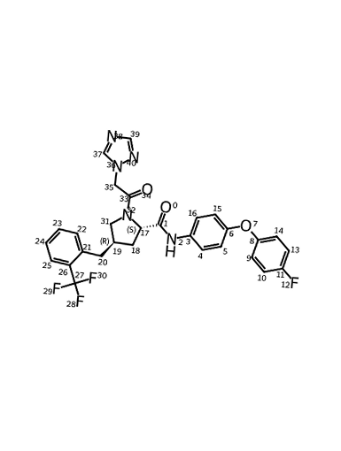 O=C(Nc1ccc(Oc2ccc(F)cc2)cc1)[C@@H]1C[C@@H](Cc2ccccc2C(F)(F)F)CN1C(=O)Cn1cncn1